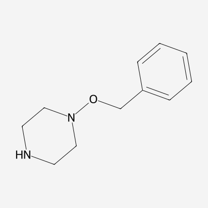 c1ccc(CON2CCNCC2)cc1